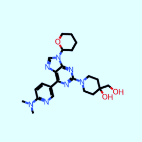 CN(C)c1ccc(-c2nc(N3CCC(O)(CO)CC3)nc3c2ncn3C2CCCCO2)cn1